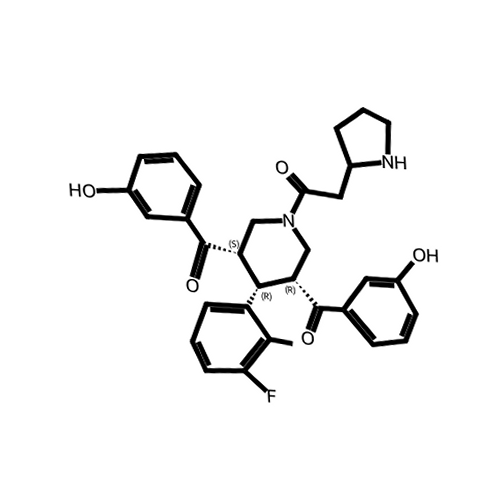 Cc1c(F)cccc1[C@H]1[C@@H](C(=O)c2cccc(O)c2)CN(C(=O)CC2CCCN2)C[C@H]1C(=O)c1cccc(O)c1